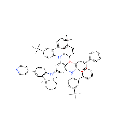 CC(C)(C)c1ccc(N2c3ccc(-c4ccccc4)cc3B3c4ccc(C(C)(C)C)cc4N(c4ccc(C(C)(C)C)cc4-c4ccccc4)c4cc(N5c6ccc(-c7ccncc7)cc6C6(C)CCCCC56C)cc2c43)c(-c2ccccc2)c1